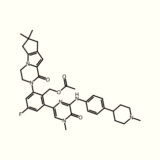 CC(=O)OCc1c(-c2cn(C)c(=O)c(Nc3ccc(C4CCN(C)CC4)cc3)n2)cc(F)cc1N1CCn2c(cc3c2CC(C)(C)C3)C1=O